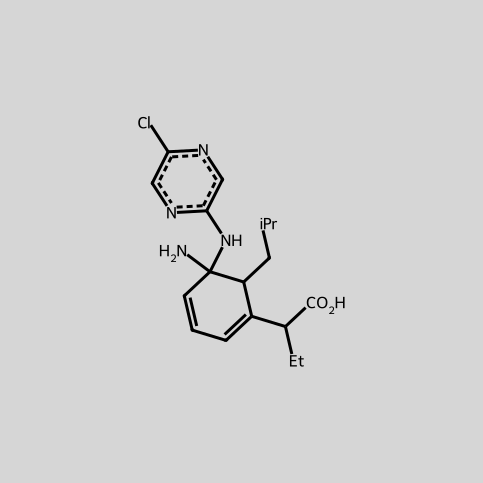 CCC(C(=O)O)C1=CC=CC(N)(Nc2cnc(Cl)cn2)C1CC(C)C